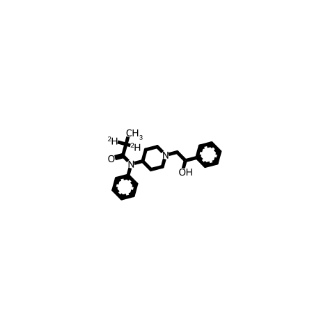 [2H]C([2H])(C)C(=O)N(c1ccccc1)C1CCN(CC(O)c2ccccc2)CC1